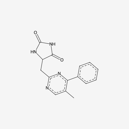 Cc1cnc(CC2NC(=O)NC2=O)nc1-c1ccccc1